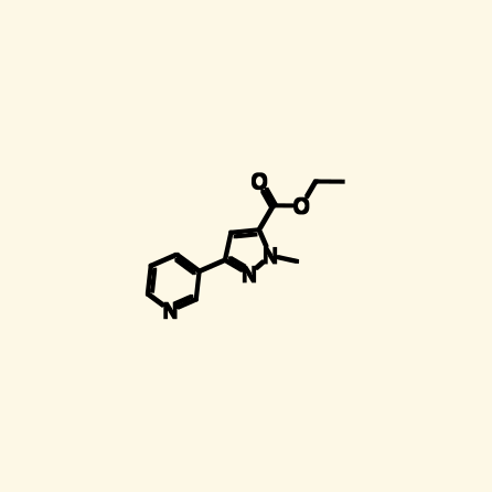 CCOC(=O)c1cc(-c2cccnc2)nn1C